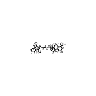 O=C1[C@H]2CCCC[C@H]2C(=O)N1CCCCCN1CC[C@H]2c3cccc(O)c3CC[C@H]21